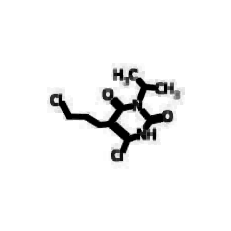 CC(C)n1c(=O)[nH]c(Cl)c(CCCCl)c1=O